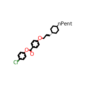 CCCCC[C@H]1CC[C@H](/C=C/COc2ccc(C(=O)Oc3ccc(Cl)cc3)cc2)CC1